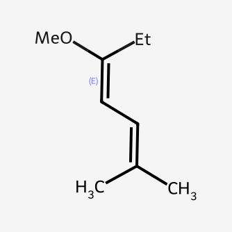 CC/C(=C\C=C(C)C)OC